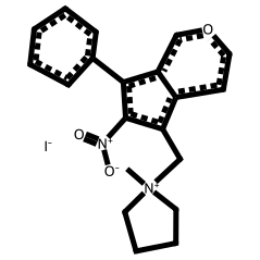 C[N+]1(Cc2c3ccocc-3c(-c3ccccc3)c2[N+](=O)[O-])CCCC1.[I-]